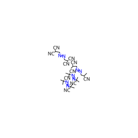 CC(C#N)CN=NCC(C)C#N.CC(C)(C#N)N=NC(C)(C)C#N.CC(C)(C#N)N=NC(C)(C)C#N.N#CC(C#N)CN=NCC(C#N)C#N